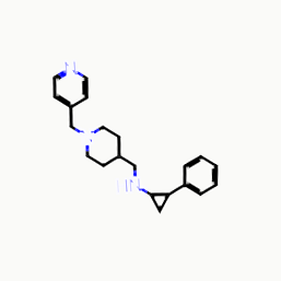 c1ccc(C2CC2NCC2CCN(Cc3ccncc3)CC2)cc1